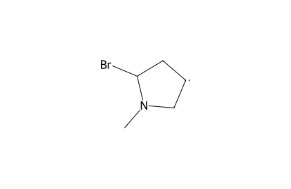 CN1C[CH]CC1Br